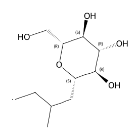 [CH2]CC(C)C[C@@H]1O[C@H](CO)[C@@H](O)[C@H](O)[C@H]1O